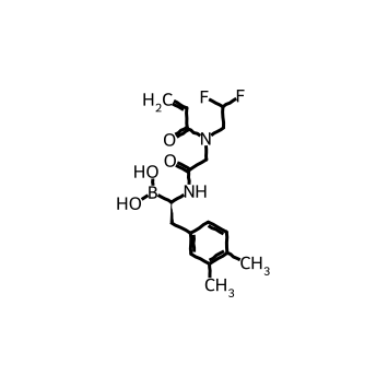 C=CC(=O)N(CC(=O)N[C@@H](Cc1ccc(C)c(C)c1)B(O)O)CC(F)F